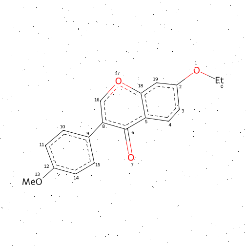 CCOc1ccc2c(=O)c(-c3ccc(OC)cc3)coc2c1